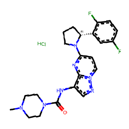 CN1CCN(C(=O)Nc2cnn3ccc(N4CCC[C@@H]4c4cc(F)ccc4F)nc23)CC1.Cl